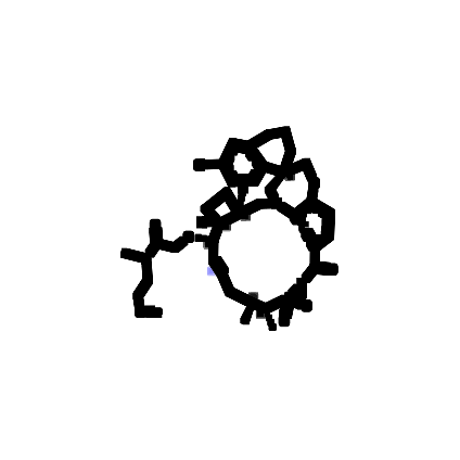 COCCN(C)C(=O)CO[C@H]1/C=C/C[C@H](C)[C@@H](C)S(=O)(=O)NC(=O)c2ccc3c(c2)N(C[C@@H]2CC[C@H]21)C[C@@]1(CCCc2cc(Cl)ccc21)CO3